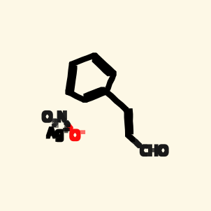 O=CC=Cc1ccccc1.O=[N+]([O-])[O-].[Ag+]